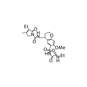 CCNSC(=O)NS(=O)(=O)c1cc2c(cc1OC)OCCC2CNC(=O)N1CC(C)=C(CC)C1=O